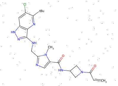 C=CC(=O)N1CC(NC(=O)c2cnc(CNc3n[nH]c4cc(Cl)c(C(C)(C)C)nc34)n2C)C1